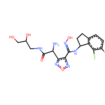 NC(C(=O)NCC(O)CO)c1nonc1C(=NO)NC1CCc2ccc(F)c(F)c21